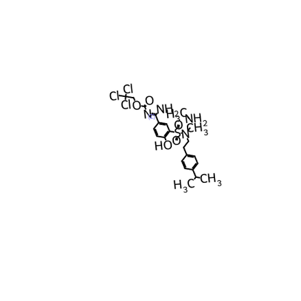 CC(C)c1ccc(CCN(C)S(=O)(=O)c2cc(/C(N)=N/C(=O)OCC(Cl)(Cl)Cl)ccc2O)cc1.CN